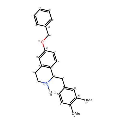 COc1ccc(CC2c3ccc(OCc4ccccc4)cc3CCN2C=O)cc1OC